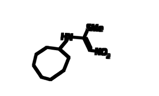 CSC(=C[N+](=O)[O-])NC1CCCCCCC1